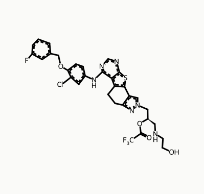 O=C(O[C@H](CNCCO)Cn1cc2c(n1)CCc1c-2sc2ncnc(Nc3ccc(OCc4cccc(F)c4)c(Cl)c3)c12)C(F)(F)F